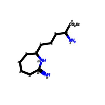 CCOC(=O)C(N)CCCC1CCCCC(=N)N1